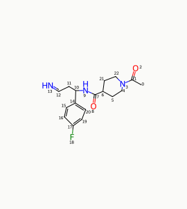 CC(=O)N1CCC(C(=O)NC(CC=N)c2ccc(F)cc2)CC1